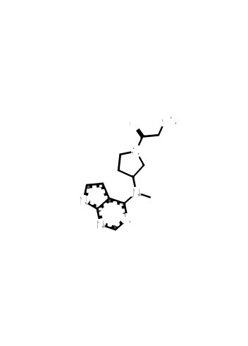 CN(c1ncnc2[nH]ccc12)C1CCN(C(=O)CC#N)C1